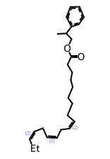 CC/C=C\C/C=C\C/C=C\CCCCCCCC(=O)OCC(C)c1ccccc1